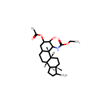 CCC(=O)OC1CC2CC[C@@H]3[C@@H](CC[C@]4(C)C(C(=O)O)CC[C@@H]34)[C@@]2(C)C(NC(=O)OCC(Cl)(Cl)Cl)C1O